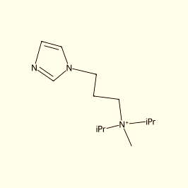 CC(C)[N+](C)(CCCn1ccnc1)C(C)C